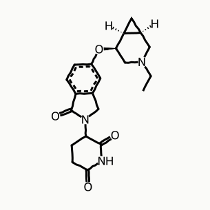 CCN1C[C@@H]2C[C@@H]2[C@H](Oc2ccc3c(c2)CN(C2CCC(=O)NC2=O)C3=O)C1